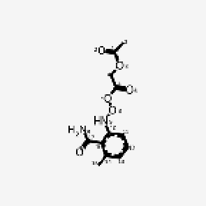 CC(=O)OCC(=O)OONc1cccc(C)c1C(N)=O